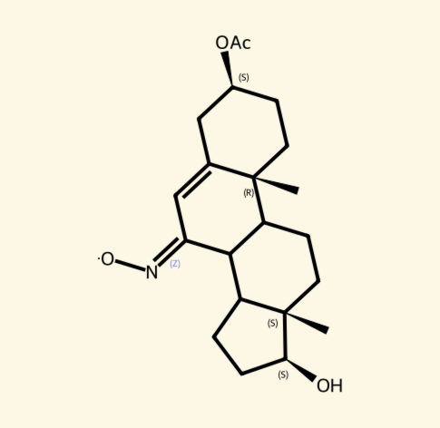 CC(=O)O[C@H]1CC[C@@]2(C)C(=C/C(=N\[O])C3C2CC[C@@]2(C)C3CC[C@@H]2O)C1